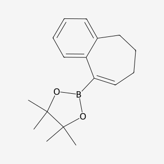 CC1(C)OB(C2=CCCCc3ccccc32)OC1(C)C